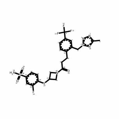 Cc1nnn(Cc2cc(C(F)(F)F)ccc2CCC(=O)N2CC(Sc3ccc(S(N)(=O)=O)cc3F)C2)n1